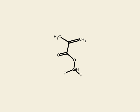 C=C(C)C(=O)O[SiH](F)F